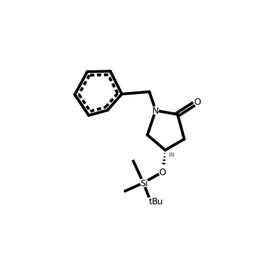 CC(C)(C)[Si](C)(C)O[C@H]1CC(=O)N(Cc2ccccc2)C1